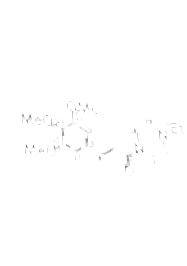 [CH2]CN1CCN(C(=O)C=Cc2cc(OC)c(OC)c(OC)c2)CC1